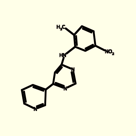 Cc1ccc([N+](=O)[O-])cc1Nc1cc(-c2cccnc2)ncn1